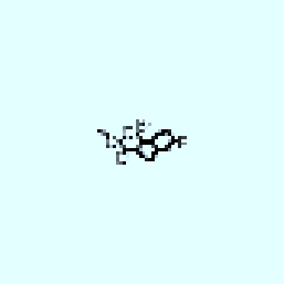 CCOC(=O)C(=O)c1ccc2cc(F)ccc2c1CBr